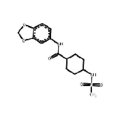 CS(=O)(=O)NC1CCC(C(=O)Nc2ccc3c(c2)OCO3)CC1